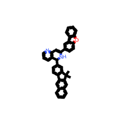 CC1(C)c2cc(C3NC(c4ccc5oc6ccccc6c5c4)=Cc4ncccc43)ccc2-c2cc3ccccc3cc21